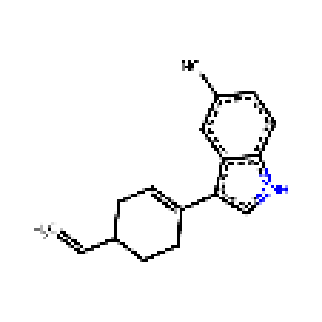 C=CC1CC=C(c2c[nH]c3ccc(C#N)cc23)CC1